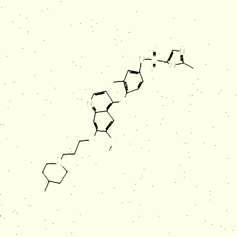 COc1cc2c(Oc3ccc(NS(=O)(=O)c4cnc(C)[nH]4)cc3F)ccnc2cc1OCCCN1CCC(C)CC1